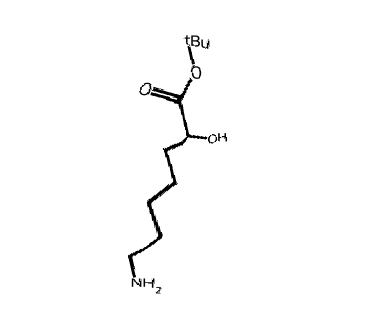 CC(C)(C)OC(=O)C(O)CCCCCN